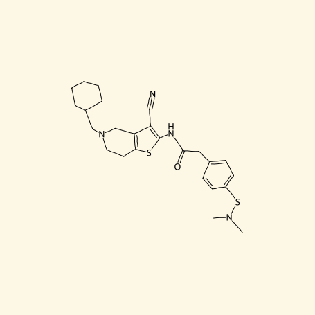 CN(C)Sc1ccc(CC(=O)Nc2sc3c(c2C#N)CN(CC2CCCCC2)CC3)cc1